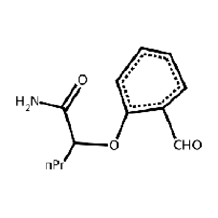 CCCC(Oc1ccccc1C=O)C(N)=O